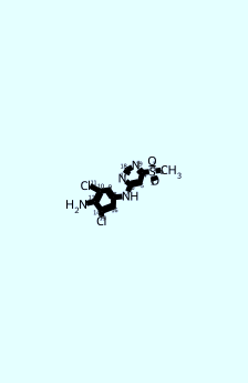 CS(=O)(=O)c1cc(Nc2cc(Cl)c(N)c(Cl)c2)ncn1